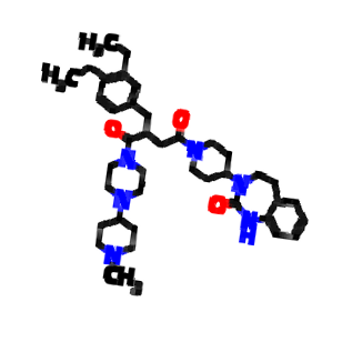 CCc1ccc(CC(CC(=O)N2CCC(N3CCc4ccccc4NC3=O)CC2)C(=O)N2CCN(C3CCN(C)CC3)CC2)cc1CC